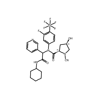 N#CN1C[C@H](O)C[C@@H]1C(=O)N(c1ccc(S(F)(F)(F)(F)F)c(F)c1)C(C(=O)NC1CCCCC1)c1cccnc1